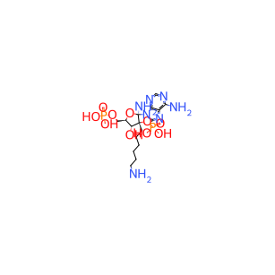 NCCCCCC[C@@]1(OP(=O)(O)O)[C@H](O)[C@@H](COP(=O)(O)O)O[C@@]1(N)n1cnc2c(N)ncnc21